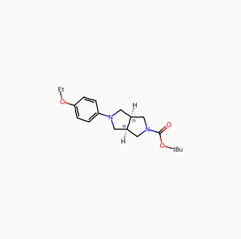 CCOc1ccc(N2C[C@H]3CN(C(=O)OC(C)(C)C)C[C@H]3C2)cc1